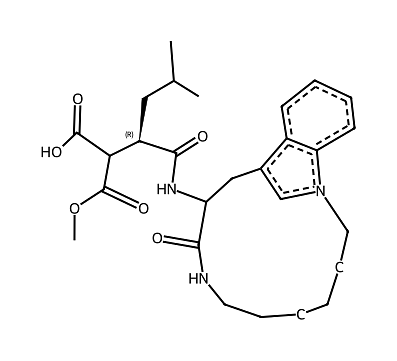 COC(=O)C(C(=O)O)[C@@H](CC(C)C)C(=O)NC1Cc2cn(c3ccccc23)CCCCCCNC1=O